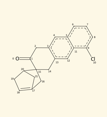 O=C1Cc2cc3cccc(Cl)c3cc2CC12CC1=CCC2C1